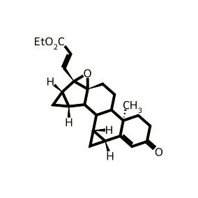 CCOC(=O)C=C[C@@]12O[C@@]13CCC1C(C3[C@@H]3C[C@@H]32)[C@H]2C[C@H]2C2=CC(=O)CC[C@@]21C